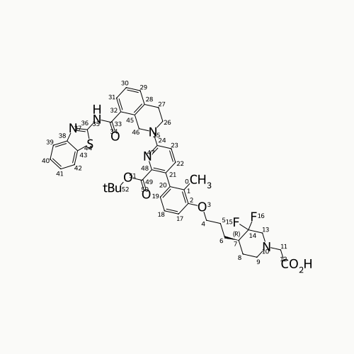 Cc1c(OCCC[C@@H]2CCN(CC(=O)O)CC2(F)F)cccc1-c1ccc(N2CCc3cccc(C(=O)Nc4nc5ccccc5s4)c3C2)nc1C(=O)OC(C)(C)C